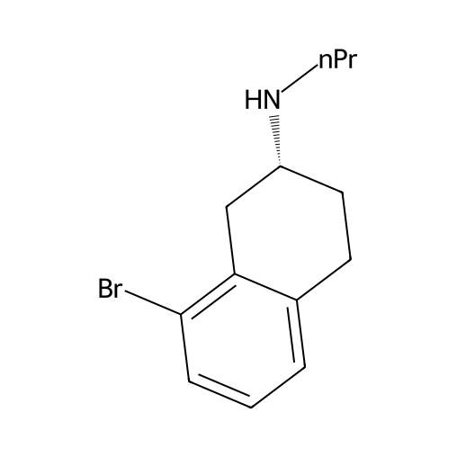 CCCN[C@@H]1CCc2cccc(Br)c2C1